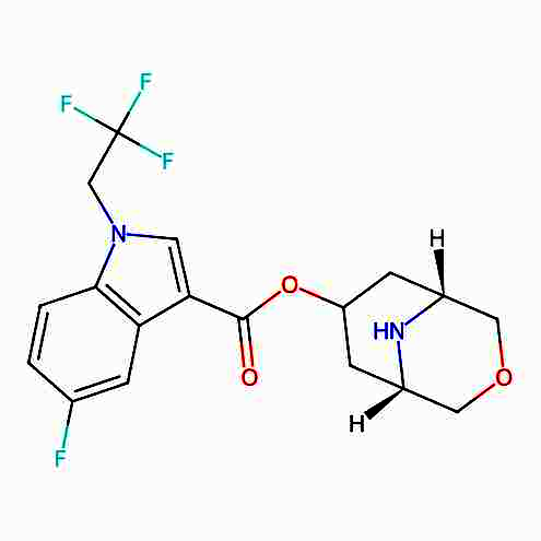 O=C(OC1C[C@H]2COC[C@@H](C1)N2)c1cn(CC(F)(F)F)c2ccc(F)cc12